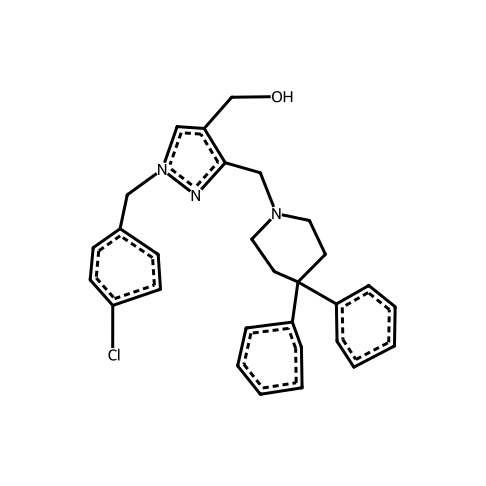 OCc1cn(Cc2ccc(Cl)cc2)nc1CN1CCC(c2ccccc2)(c2ccccc2)CC1